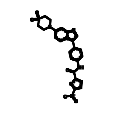 O=C(Nc1ccc(-c2cnc3cc(N4CCS(=O)(=O)CC4)ccn23)cc1)c1ccc([N+](=O)[O-])o1